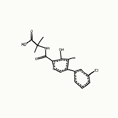 Cc1c(-c2cccc(Cl)c2)cnc(C(=O)NC(C)(C)C(=O)O)c1O